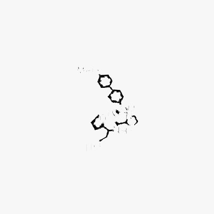 COc1ccc(-c2ccc(S(=O)(=O)N3CCSC3C(=O)NC(CCO)c3ccco3)cc2)cc1